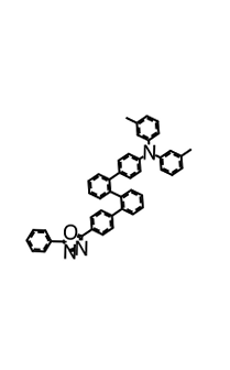 Cc1cccc(N(c2ccc(-c3ccccc3-c3ccccc3-c3ccc(-c4nnc(-c5ccccc5)o4)cc3)cc2)c2cccc(C)c2)c1